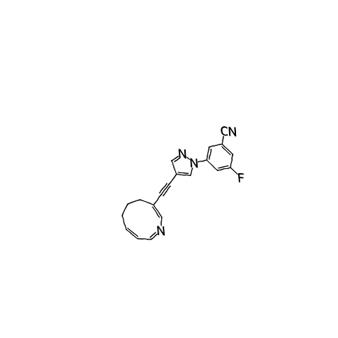 N#Cc1cc(F)cc(-n2cc(C#C/C3=C/N=C\C=C/CCC3)cn2)c1